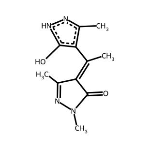 CC1=NN(C)C(=O)C1=C(C)c1c(C)n[nH]c1O